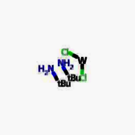 CC(C)(C)N.CC(C)(C)N.[Cl][W][Cl]